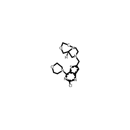 Clc1nc(N2CCOCC2)c2sc(CN3CCN4CCOC[C@H]4C3)cc2n1